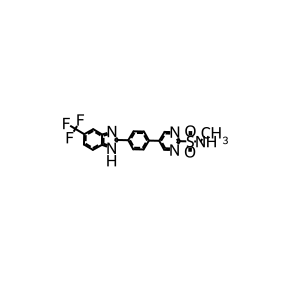 CNS(=O)(=O)c1ncc(-c2ccc(-c3nc4cc(C(F)(F)F)ccc4[nH]3)cc2)cn1